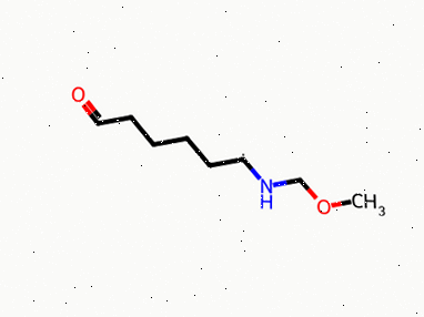 COCN[CH]CCCCC=O